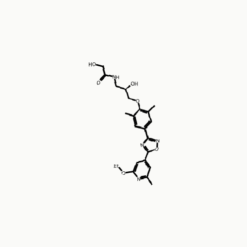 CCOc1cc(-c2nc(-c3cc(C)c(OC[C@H](O)CNC(=O)CO)c(C)c3)no2)cc(C)n1